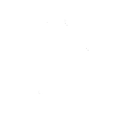 CCc1ccc(Cc2cc(C#N)c(C)[nH]c2=O)cc1